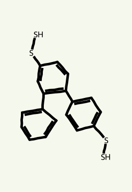 SSc1ccc(-c2ccc(SS)cc2-c2ccccc2)cc1